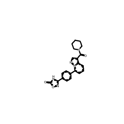 O=C(c1cnn2c(-c3ccc(-c4noc(=O)[nH]4)cc3)cccc12)N1CCCCC1